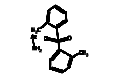 CC(N)=O.Cc1ccccc1S(=O)(=O)c1ccccc1C